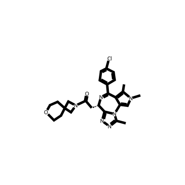 Cc1c2c(cn1C)-n1c(C)nnc1[C@H](CC(=O)N1CC3(CCOCC3)C1)N=C2c1ccc(Cl)cc1